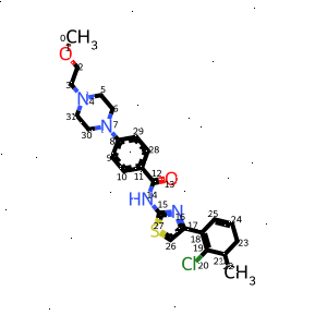 COCCN1CCN(c2ccc(C(=O)Nc3nc(C4=C(Cl)C(C)CC=C4)cs3)cc2)CC1